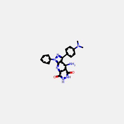 CN(C)c1ccc(-c2nn(-c3ccccc3)c3nc4c(=O)[nH][nH]c(=O)c4c(N)c23)cc1